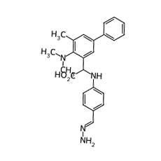 Cc1cc(-c2ccccc2)cc(C(Nc2ccc(C=NN)cc2)C(=O)O)c1N(C)C